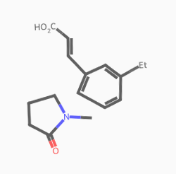 CCc1cccc(C=CC(=O)O)c1.CN1CCCC1=O